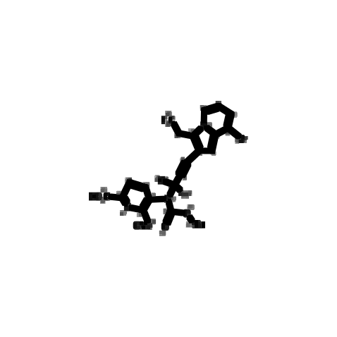 [2H]C([2H])(C#Cc1cc2c(Br)cccn2c1CC(F)(F)F)N(C(=O)OC(C)(C)C)c1ccc(C(=O)O)nc1OC